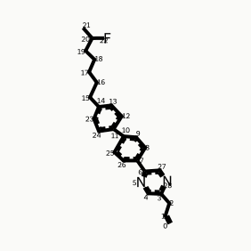 C=CCc1cnc(-c2ccc(-c3ccc(CCCCCC(C)F)cc3)cc2)cn1